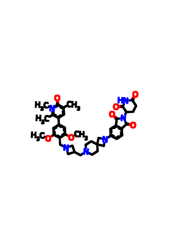 COc1cc(-c2cc(C)c(=O)n(C)c2C)cc(OC)c1CN1CC(CN2CCC3(CC2)CN(c2ccc4c(c2)C(=O)N(C2CCC(=O)NC2=O)C4=O)C3)C1